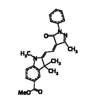 COC(=O)c1ccc2c(c1)C(C)(C)C(=CC=C1C(=O)N(c3ccccc3)N=C1C)N2C